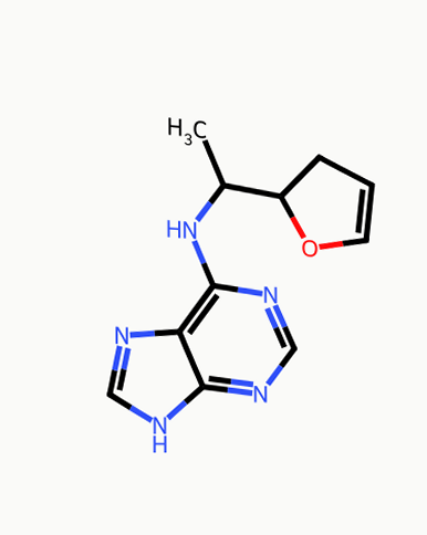 CC(Nc1ncnc2[nH]cnc12)C1CC=CO1